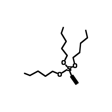 C#C[Si](OCCCCC)(OCCCCC)OCCCCC